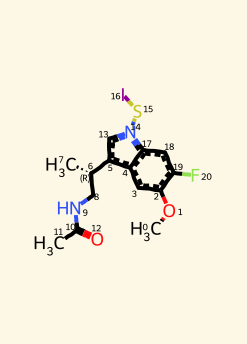 COc1cc2c([C@@H](C)CNC(C)=O)cn(SI)c2cc1F